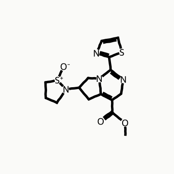 COC(=O)C1=C2CC(N3CCC[S+]3[O-])CN2C(c2nccs2)=NC1